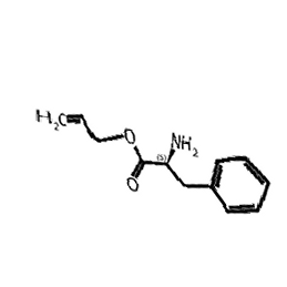 C=CCOC(=O)[C@@H](N)Cc1ccccc1